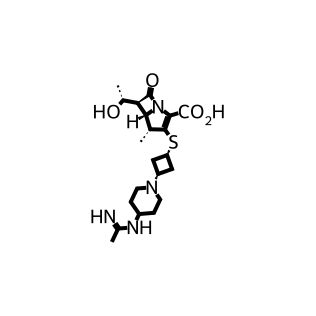 CC(=N)NC1CCN([C@H]2C[C@@H](SC3=C(C(=O)O)N4C(=O)[C@H]([C@@H](C)O)[C@H]4[C@H]3C)C2)CC1